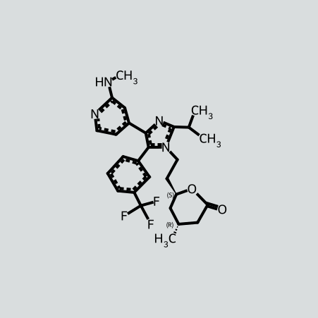 CNc1cc(-c2nc(C(C)C)n(CC[C@@H]3C[C@@H](C)CC(=O)O3)c2-c2cccc(C(F)(F)F)c2)ccn1